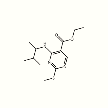 CCOC(=O)c1cnc(SC)nc1NC(C)C(C)C